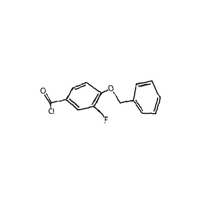 O=C(Cl)c1ccc(OCc2ccccc2)c(F)c1